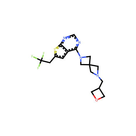 FC(F)(F)Cc1cc2c(N3CC4(CN(CC5COC5)C4)C3)ncnc2s1